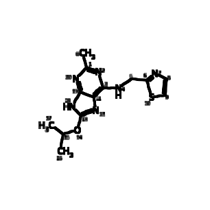 Cc1nc(NCc2nccs2)c2nc(OC(C)C)[nH]c2n1